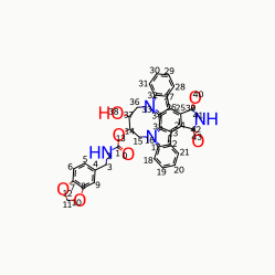 O=C(NCc1ccc2c(c1)OCO2)OC1Cn2c3ccccc3c3c4c(c5c6ccccc6n(c5c32)CC1O)C(=O)NC4=O